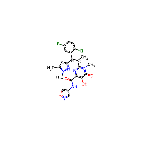 Cc1cc([C@@H](c2cc(F)ccc2Cl)[C@@H](C)c2nc(C(=O)Nc3cnoc3)c(O)c(=O)n2C)nn1C